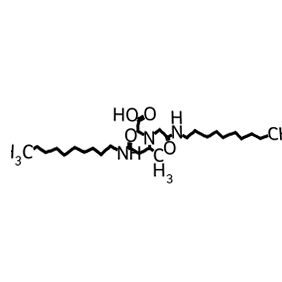 CCCCCCCCCCNC(=O)CC(C)N(CC(=O)O)CC(=O)NCCCCCCCCCC